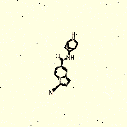 N#Cc1ccc2cc(C(=O)NC3CC4CC3CN4)ccn12